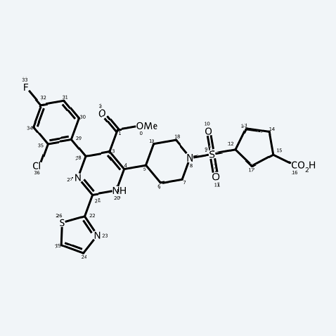 COC(=O)C1=C(C2CCN(S(=O)(=O)C3CCC(C(=O)O)C3)CC2)NC(c2nccs2)=NC1c1ccc(F)cc1Cl